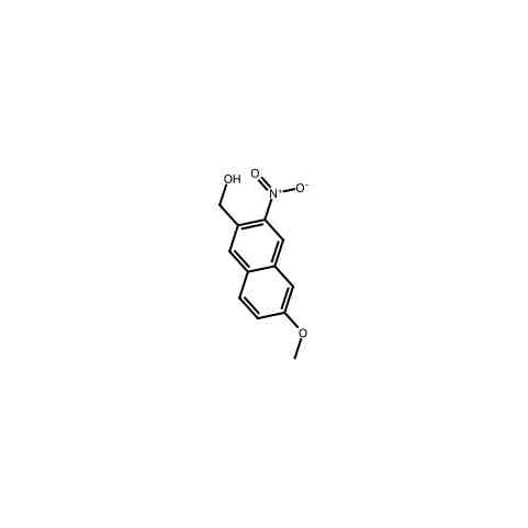 COc1ccc2cc(CO)c([N+](=O)[O-])cc2c1